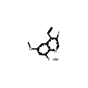 Br.C=Cc1c(F)cnc2c(F)cc(OC)cc12